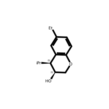 CCc1ccc2c(c1)[C@H](C(C)C)[C@H](O)CO2